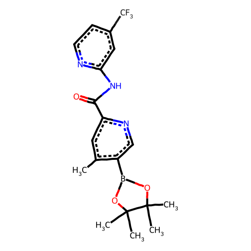 Cc1cc(C(=O)Nc2cc(C(F)(F)F)ccn2)ncc1B1OC(C)(C)C(C)(C)O1